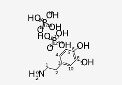 NCCc1ccc(O)c(O)c1.O=P(O)(O)O.O=P(O)(O)O